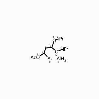 CC(=O)OC(CC(OC(C)C)OC(C)C)C(C)=O.[AlH3]